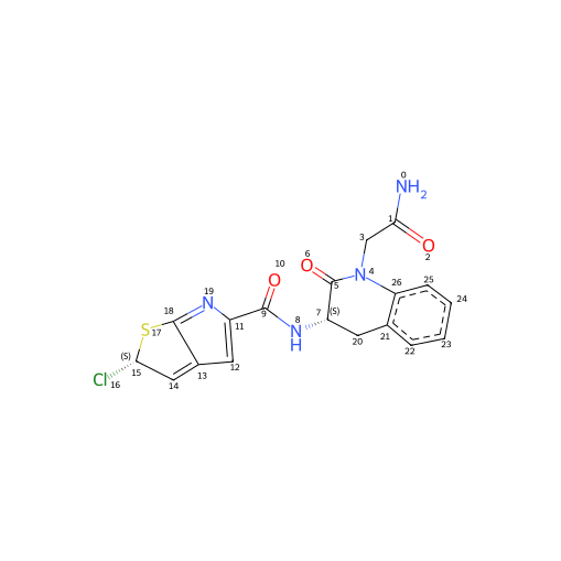 NC(=O)CN1C(=O)[C@@H](NC(=O)C2=CC3=C[C@H](Cl)SC3=N2)Cc2ccccc21